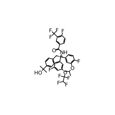 CC(C)Oc1cc([C@@](Cc2ccc(C(C)(C)O)cc2)(NC(=O)c2ccc(F)c(C(F)(F)F)c2)c2cc(F)cc(OC(F)(F)C(F)F)c2)ccc1F